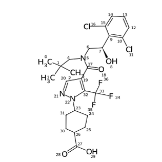 CC(C)(C)CN(C[C@H](O)c1c(Cl)cccc1Cl)C(=O)c1cnn(C2CCC(C(=O)O)CC2)c1C(F)(F)F